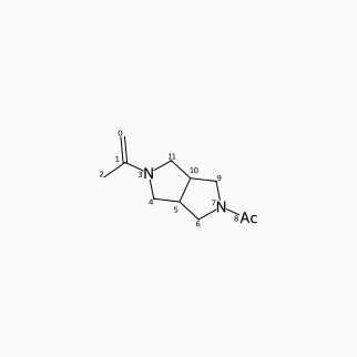 C=C(C)N1CC2CN(C(C)=O)CC2C1